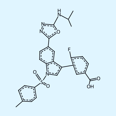 Cc1ccc(S(=O)(=O)n2cc(-c3cc(C(=O)O)ccc3F)c3cc(-c4nnc(NC(C)C)o4)ccc32)cc1